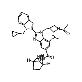 COc1cc(C(=O)N2C[C@H]3CC[C@@H]2[C@@H]3N)cc2nc(-c3cc4cccnc4n3CC3CC3)n(CC3CN(C(C)=O)C3)c12